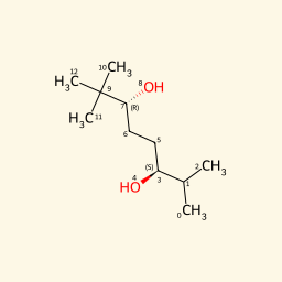 CC(C)[C@@H](O)CC[C@@H](O)C(C)(C)C